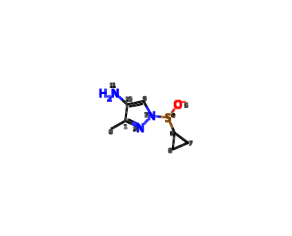 Cc1nn([S+]([O-])C2CC2)cc1N